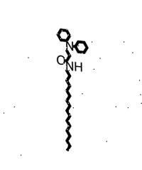 CCCCCCCCCCCCCCCCCNC(=O)CCN(C1CCCCC1)C1CCCCC1